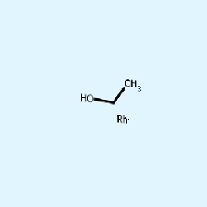 CCO.[Rh]